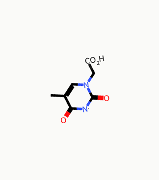 CC1=CN(CC(=O)O)C(=O)[N]C1=O